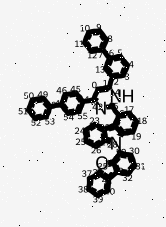 C1=C(c2cccc(-c3ccccc3)c2)NC(c2cccc3c2c2ccccc2n3-c2cccc3c2oc2ccccc23)N=C1c1ccc(-c2ccccc2)cc1